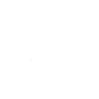 Cc1cc(N(c2ccc(-c3ccc(N(c4ccc(S(C)(=O)=O)cc4)c4ccc(S(C)(=O)=O)c(C)c4)cc3)cc2)c2ccc(S(C)(=O)=O)cc2)ccc1S(C)(=O)=O